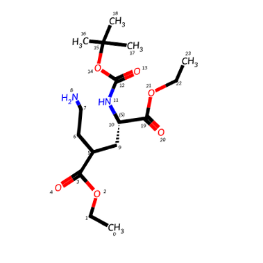 CCOC(=O)C(CCN)C[C@H](NC(=O)OC(C)(C)C)C(=O)OCC